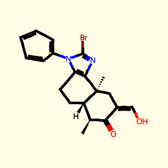 C[C@@H]1C(=O)/C(=C\O)C[C@]2(C)c3nc(Br)n(-c4ccccc4)c3CC[C@@H]12